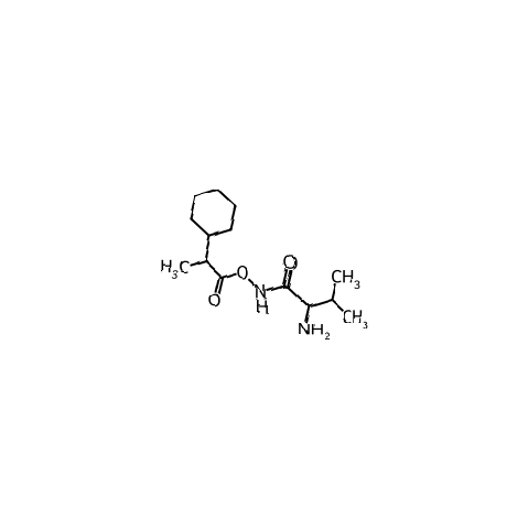 CC(C)C(N)C(=O)NOC(=O)C(C)C1CCCCC1